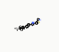 C[Si](C)(C)c1ccc(-c2ccc3cc(-c4ccc(-c5ccc6sc7ncccc7c6c5)nc4)ccc3c2)cc1